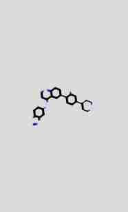 Fc1cc(C2=CCNCC2)ccc1-c1ccc2nccc(Nc3ccc4scnc4c3)c2c1